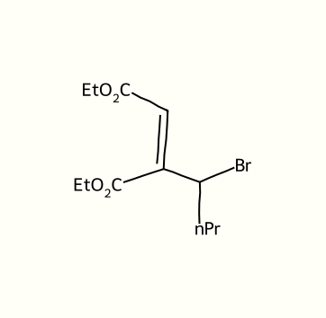 CCCC(Br)/C(=C/C(=O)OCC)C(=O)OCC